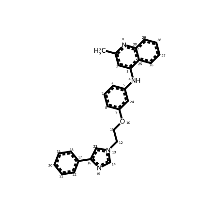 Cc1cc(Nc2cccc(OCCn3cnc(-c4ccccc4)c3)c2)c2ccccc2n1